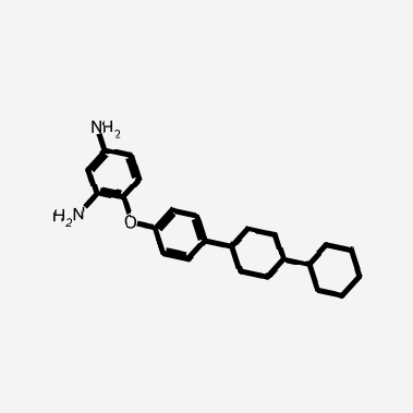 Nc1ccc(Oc2ccc(C3CCC(C4CCCCC4)CC3)cc2)c(N)c1